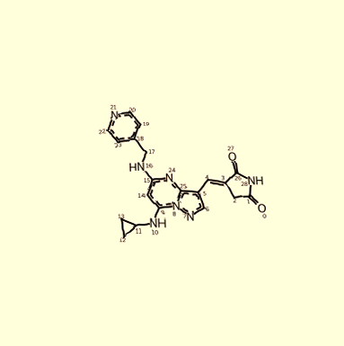 O=C1C/C(=C\c2cnn3c(NC4CC4)cc(NCc4ccncc4)nc23)C(=O)N1